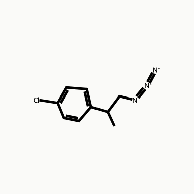 CC(CN=[N+]=[N-])c1ccc(Cl)cc1